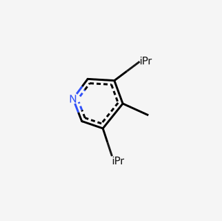 Cc1c(C(C)C)cncc1C(C)C